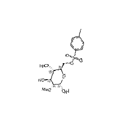 CO[C@@H]1[C@@H](O)[C@H](O)[C@@H](COS(=O)(=O)c2ccc(C)cc2)O[C@@H]1O